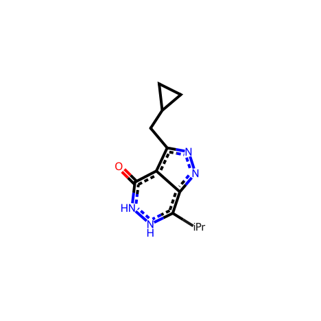 CC(C)c1[nH][nH]c(=O)c2c(CC3CC3)nnc1-2